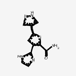 NC(=O)c1sc(-c2cn[nH]c2)cc1-c1ncc[nH]1